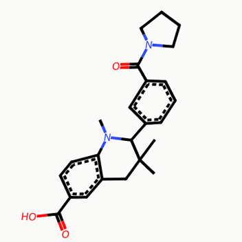 CN1c2ccc(C(=O)O)cc2CC(C)(C)C1c1cccc(C(=O)N2CCCC2)c1